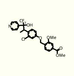 COC(=O)c1ccc(COc2ccc(C(C)C(O)(c3ccncc3)C(F)(F)F)c(Cl)c2)c(OC)c1